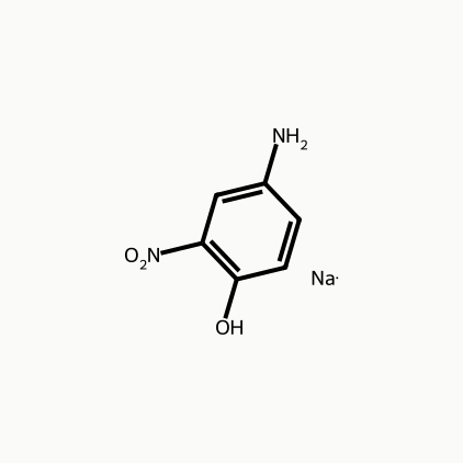 Nc1ccc(O)c([N+](=O)[O-])c1.[Na]